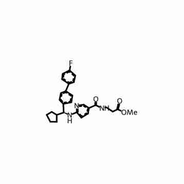 COC(=O)CCNC(=O)c1ccc(N[C@H](c2ccc(-c3ccc(F)cc3)cc2)C2CCCC2)nc1